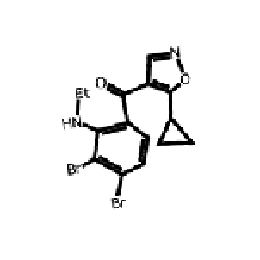 CCNc1c(C(=O)c2cnoc2C2CC2)ccc(Br)c1Br